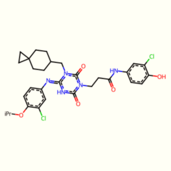 CC(C)Oc1ccc(/N=c2\[nH]c(=O)n(CCC(=O)Nc3ccc(O)c(Cl)c3)c(=O)n2CC2CCC3(CC2)CC3)cc1Cl